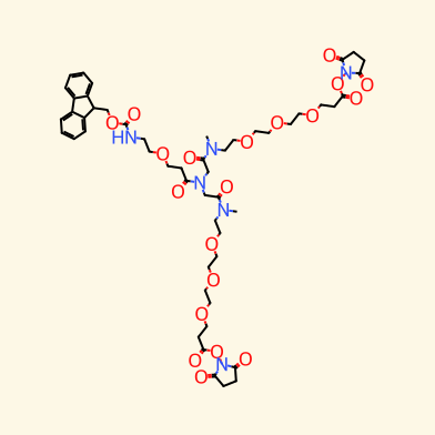 CN(CCOCCOCCOCCC(=O)ON1C(=O)CCC1=O)C(=O)CN(CC(=O)N(C)CCOCCOCCOCCC(=O)ON1C(=O)CCC1=O)C(=O)CCOCCNC(=O)OCC1c2ccccc2-c2ccccc21